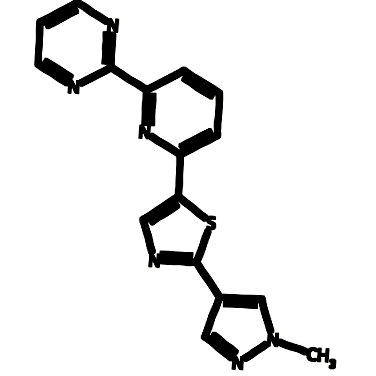 Cn1cc(-c2ncc(-c3cccc(-c4ncccn4)n3)s2)cn1